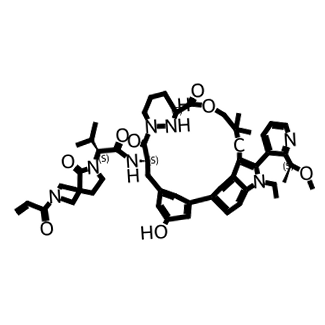 C=CC(=O)N1CC2(CCN([C@H](C(=O)N[C@H]3Cc4cc(O)cc(c4)-c4ccc5c(c4)c(c(-c4cccnc4[C@H](C)OC)n5CC)CC(C)(C)COC(=O)[C@@H]4CCCN(N4)C3=O)C(C)C)C2=O)C1